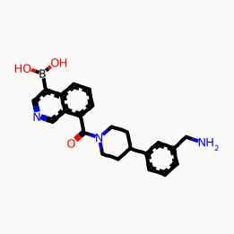 NCc1cccc(C2CCN(C(=O)c3cccc4c(B(O)O)cncc34)CC2)c1